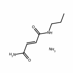 CCCNC(=O)C=CC(N)=O.N